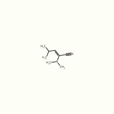 CC(C)/C=C(/C#N)N(C)C